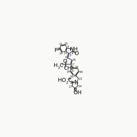 CC1(C)O/C(=C2/C(=O)Nc3ccc(F)cc32)C=C1c1ccc(CN2C[C@H](O)C[C@H]2C(=O)O)cc1